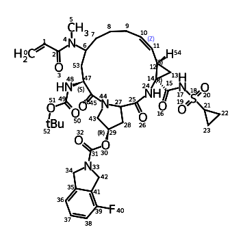 C=CC(=O)N(C)C1CCC/C=C\[C@@H]2C[C@@]2(C(=O)NS(=O)(=O)C2CC2)NC(=O)C2C[C@@H](OC(=O)N3Cc4cccc(F)c4C3)CN2C(=O)[C@@H](NC(=O)OC(C)(C)C)C1